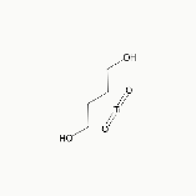 OCCCCO.[O]=[Ti]=[O]